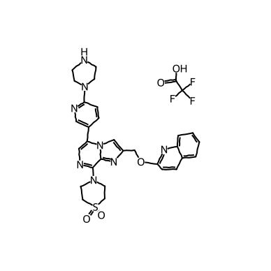 O=C(O)C(F)(F)F.O=S1(=O)CCN(c2ncc(-c3ccc(N4CCNCC4)nc3)n3cc(COc4ccc5ccccc5n4)nc23)CC1